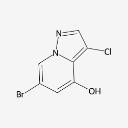 Oc1cc(Br)cn2ncc(Cl)c12